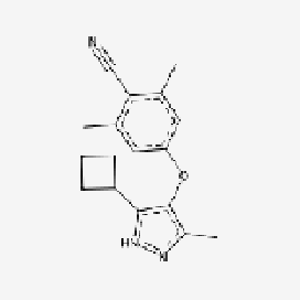 Cc1cc(Oc2c(C)n[nH]c2C2CCC2)cc(C)c1C#N